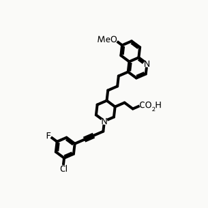 COc1ccc2nccc(CCCC3CCN(CC#Cc4cc(F)cc(Cl)c4)CC3CCC(=O)O)c2c1